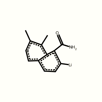 [Li][c]1ccc2ccc(C)c(C)c2c1C(N)=O